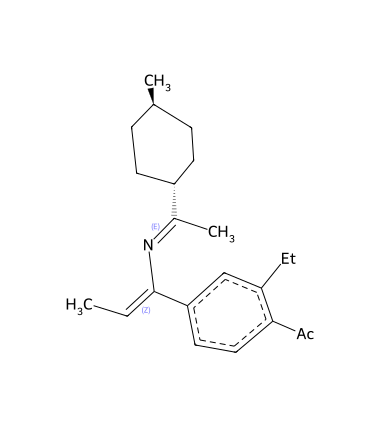 C/C=C(\N=C(/C)[C@H]1CC[C@H](C)CC1)c1ccc(C(C)=O)c(CC)c1